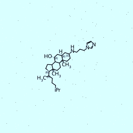 CC(C)CCC[C@@H](C)[C@H]1CCC2C3C(CC[C@@]21C)[C@@]1(C)CC[C@H](NCCCn2ccnc2)C[C@@H]1C[C@H]3O